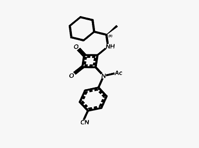 CC(=O)N(c1ccc(C#N)cc1)c1c(N[C@H](C)C2CCCCC2)c(=O)c1=O